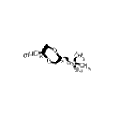 CC(C)(C)[Si](C)(C)OC[C@@H]1CO[C@@H](C=O)CO1